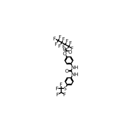 O=C(Nc1ccc(OS(=O)(=O)C(F)(F)C(F)(F)C(F)(F)C(F)(F)F)cc1)Nc1ccc(SC(F)(F)C(F)F)cc1